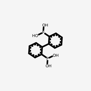 OP(O)c1ccccc1-c1ccccc1P(O)O